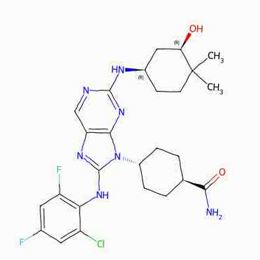 CC1(C)CC[C@@H](Nc2ncc3nc(Nc4c(F)cc(F)cc4Cl)n([C@H]4CC[C@H](C(N)=O)CC4)c3n2)C[C@H]1O